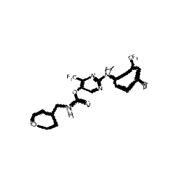 O=C(NCC1CCOCC1)Oc1cnc(Nc2ccc(Br)cc2C(F)(F)F)nc1C(F)(F)F